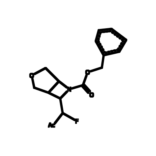 CC(=O)C(F)C1C2COCC2N1C(=O)OCc1ccccc1